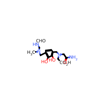 CN(CNC=O)Cc1ccc(CN(CC(N)=O)CC(=O)O)c(O)c1O